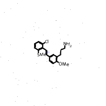 COc1ccc(/C=C/c2c(Cl)cccc2SC)cc1CCCN